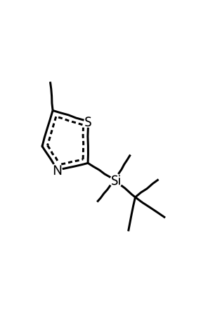 Cc1cnc([Si](C)(C)C(C)(C)C)s1